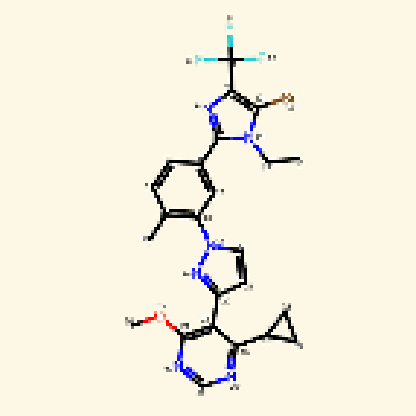 [CH2]c1ccc(-c2nc(C(F)(F)F)c(Br)n2CC)cc1-n1ccc(-c2c(OC)ncnc2C2CC2)n1